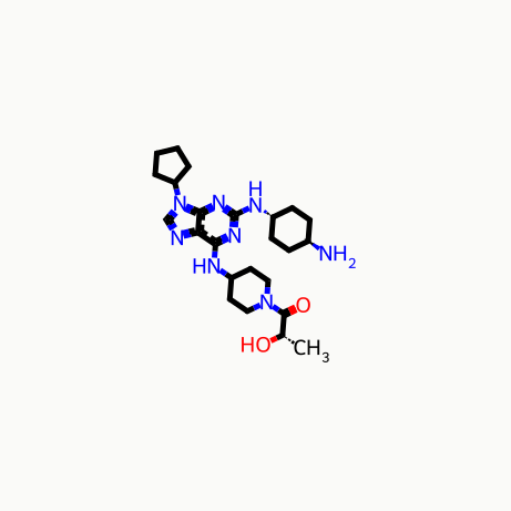 C[C@H](O)C(=O)N1CCC(Nc2nc(N[C@H]3CC[C@H](N)CC3)nc3c2ncn3C2CCCC2)CC1